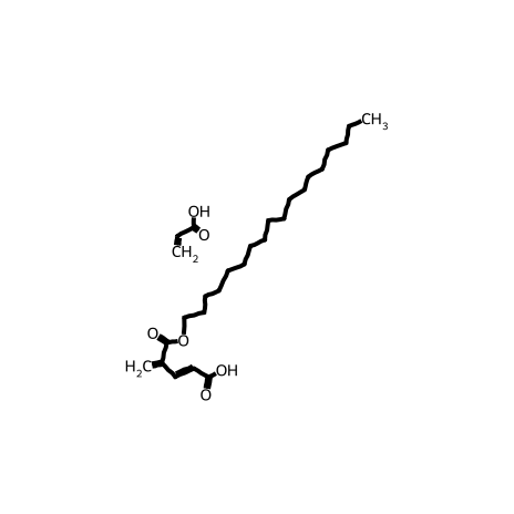 C=C(C=CC(=O)O)C(=O)OCCCCCCCCCCCCCCCCCC.C=CC(=O)O